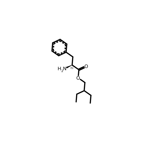 CCC(CC)COC(=O)[C@@H](N)Cc1ccccc1